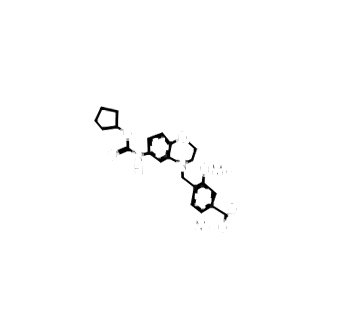 COC(=O)c1ccc(CN2CCOc3ccc(NC(=O)OC4CCCC4)cc32)c(OC)c1